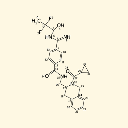 CC(F)(F)C(O)NC(=N)c1ccc(C(=O)NCC2Cc3ccccc3CN2C(=O)C2CC2)cc1